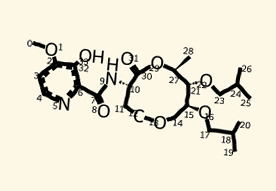 COc1ccnc(C(=O)N[C@H]2CCOC[C@H](OCC(C)C)[C@@H](OCC(C)C)[C@H](C)OC2=O)c1O